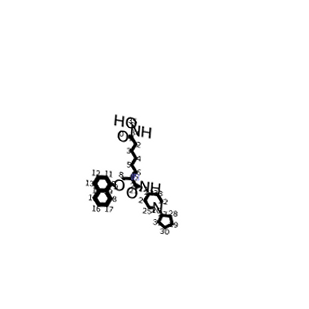 O=C(CCCC/C=C(\COc1cccc2ccccc12)C(=O)NC1CCN(C2CCCC2)CC1)NO